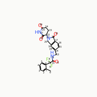 Cc1ccccc1C(F)(F)C(=O)NCc1ccc2c(c1)CN(C1CCC(=O)NC1=O)C2=O